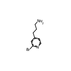 NCCCc1ccnc(Br)c1